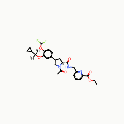 [2H]C([2H])(Oc1cc(C2C[C@H](C(=O)NCc3cccc(C(=O)OCC)n3)N(C(C)=O)C2)ccc1OC(F)F)C1CC1